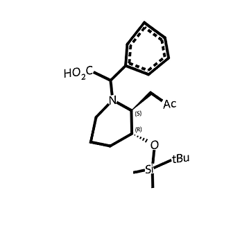 CC(=O)C[C@H]1[C@H](O[Si](C)(C)C(C)(C)C)CCCN1C(C(=O)O)c1ccccc1